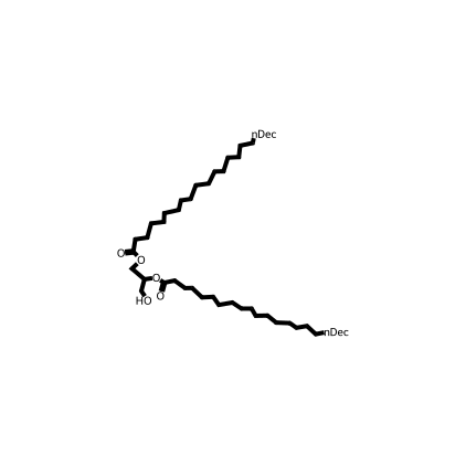 CCCCCCCCCCCCCCCCCCCCCCCCCCC(=O)OCC(CO)OC(=O)CCCCCCCCCCCCCCCCCCCCCCCCCC